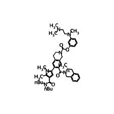 CCCCN(CCCC)C(=O)c1cc(-c2cc3c(cc2C(=O)N2Cc4ccccc4C[C@H]2C)CN(C(=O)Oc2cccc(N(C)CCN(C)C)c2)CC3)n(C)c1C